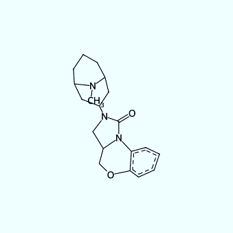 CN1C2CCCC1CC(N1CC3COc4ccccc4N3C1=O)C2